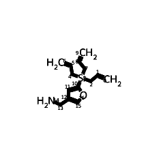 C=CC[Si](CC=C)(CC=C)c1cc(CN)co1